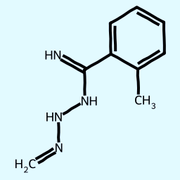 C=NNNC(=N)c1ccccc1C